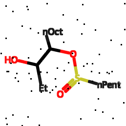 CCCCCCCCC(OS(=O)CCCCC)C(O)CC